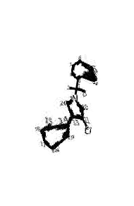 CC(C)(c1ccccc1)n1cc(Cl)c(-c2ccccc2)c1